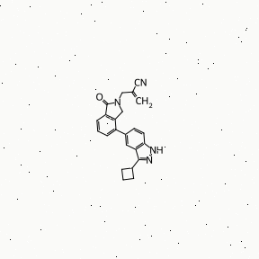 C=C(C#N)CN1Cc2c(cccc2-c2ccc3[nH]nc(C4CCC4)c3c2)C1=O